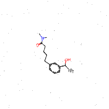 CCCC(O)c1cccc(CCCCC(=O)N(C)C)c1